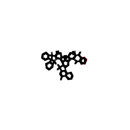 Cc1cc2c(c3ccccc13)-c1cc3c4c5c(ncc4n4c6cnc7c(c6c(c1C2(C)C)c34)C1(C)c2ccccc2C12c1ccccc1C72C)C1(C)c2ccccc2C5(C)c2ccccc21